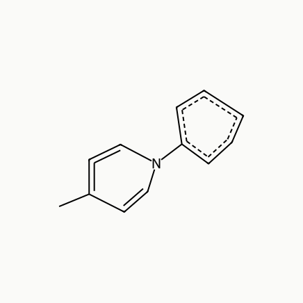 CC1=C=CN(c2ccccc2)C=C1